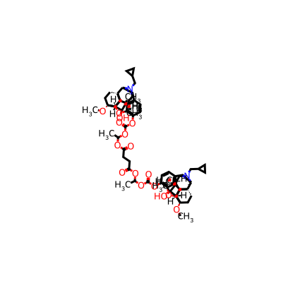 CO[C@]12CC[C@@]3(C[C@@H]1[C@](C)(O)C(C)(C)C)C1Cc4ccc(OC(=O)OC(C)OC(=O)CCC(=O)OC(C)OC(=O)Oc5ccc6c7c5O[C@H]5[C@@]8(OC)CC[C@@]9(C[C@@H]8[C@](C)(O)C(C)(C)C)C(C6)N(CC6CC6)CC[C@]759)c5c4[C@@]3(CCN1CC1CC1)[C@H]2O5